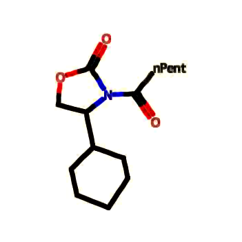 CCCCCC(=O)N1C(=O)OCC1C1CCCCC1